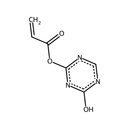 C=CC(=O)Oc1ncnc(O)n1